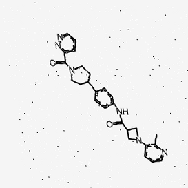 Cc1ncccc1N1CC(C(=O)Nc2ccc(C3CCN(C(=O)c4cccnn4)CC3)cc2)C1